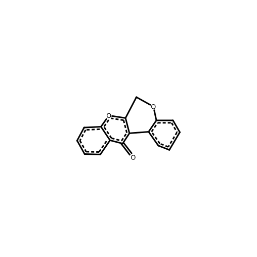 O=c1c2c(oc3ccccc13)COc1ccccc1-2